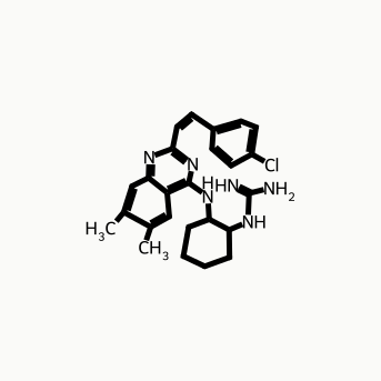 Cc1cc2nc(/C=C\c3ccc(Cl)cc3)nc(NC3CCCCC3NC(=N)N)c2cc1C